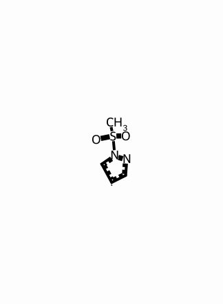 CS(=O)(=O)n1c[c]cn1